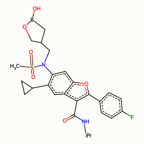 CC(C)NC(=O)c1c(-c2ccc(F)cc2)oc2cc(N(CC3COB(O)C3)S(C)(=O)=O)c(C3CC3)cc12